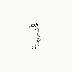 CC(C)O[C@H]1CC[C@H](CC(=O)NC2CCC(CCN3CCN(c4noc5ccc(F)cc45)CC3)CC2)CC1